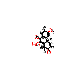 COc1cc2c(cc1C)C(=O)C(O)=C1C(C)(C)C(=O)C=CC12C